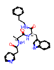 C[C@H](NC(=O)Cc1cccnc1)C(=O)N[C@H](Cc1c[nH]c2ccccc12)C(=O)NCCc1ccccc1